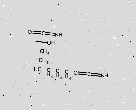 C.C.C.C.C.C.CO.N=C=O.N=C=O